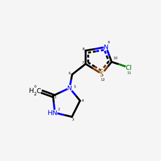 C=C1NCCN1Cc1cnc(Cl)s1